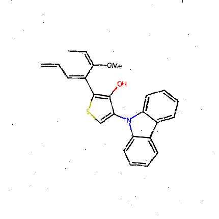 C=C/C=C(\C(=C/C)OC)c1scc(-n2c3ccccc3c3ccccc32)c1O